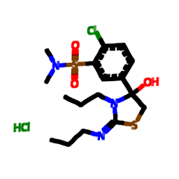 CCCN=C1SCC(O)(c2ccc(Cl)c(S(=O)(=O)N(C)C)c2)N1CCC.Cl